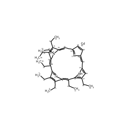 CCC1=C(CC)c2nc1c(CC)c1[nH]c(cc3nc(cc4c(CC)c(CC)c(c2CC)n4CC)C=C3)cc1CC.[Gd]